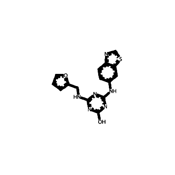 Oc1nc(NCc2ccco2)nc(Nc2ccc3ncsc3c2)n1